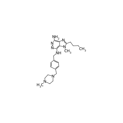 CCCCc1nc2c(N)nnc(NCc3ccc(CN4CCN(C)CC4)cc3)c2n1C